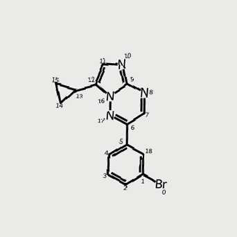 Brc1cccc(-c2cnc3ncc(C4CC4)n3n2)c1